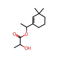 CC(O)C(=O)OC(C)C1=CC(C)(C)CCC1